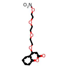 O=c1cc(OCCOCCOCCO[N+](=O)[O-])c2ccccc2o1